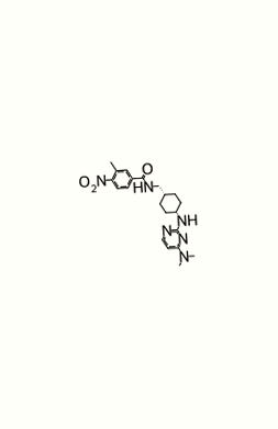 Cc1cc(C(=O)NC[C@H]2CC[C@@H](Nc3nccc(N(C)C)n3)CC2)ccc1[N+](=O)[O-]